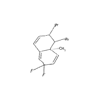 CC(C)C1C=CC2=CC(F)(F)C=C[C@]2(C)C1C(C)C